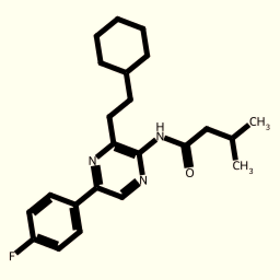 CC(C)CC(=O)Nc1ncc(-c2ccc(F)cc2)nc1CCC1CCCCC1